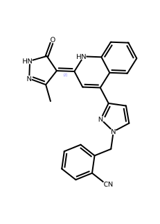 CC1=NNC(=O)/C1=C1/C=C(c2ccn(Cc3ccccc3C#N)n2)c2ccccc2N1